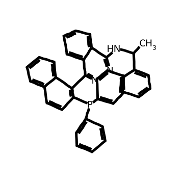 CC(Nc1nnc(-c2c(P(c3ccccc3)c3ccccc3)ccc3ccccc23)c2ccccc12)c1ccccc1